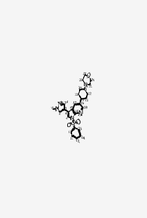 Cn1cc(-c2cn(S(=O)(=O)c3ccccc3)c3ncc(C4CCC(N5CCOCC5)CC4)cc23)cn1